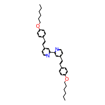 CCCCCCOc1ccc(C=Cc2ccnc(-c3cc(C=Cc4ccc(OCCCCCC)cc4)ccn3)c2)cc1